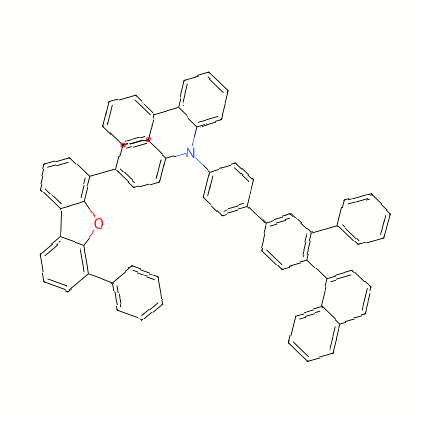 c1ccc(-c2cc(-c3ccc(N(c4ccc(-c5cccc6c5oc5c(-c7ccccc7)cccc56)cc4)c4ccccc4-c4ccccc4)cc3)ccc2-c2cccc3ccccc23)cc1